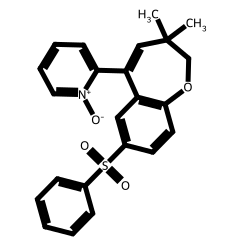 CC1(C)C=C(c2cccc[n+]2[O-])c2cc(S(=O)(=O)c3ccccc3)ccc2OC1